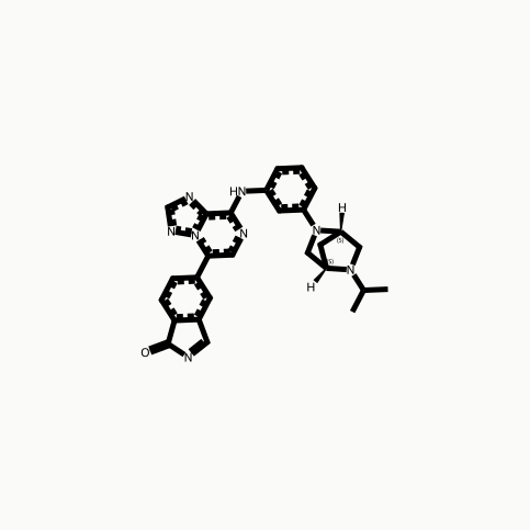 CC(C)N1C[C@@H]2C[C@H]1CN2c1cccc(Nc2ncc(-c3ccc4c(c3)C=NC4=O)n3ncnc23)c1